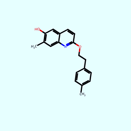 Cc1ccc(CCOc2ccc3cc(O)c(C)cc3n2)cc1